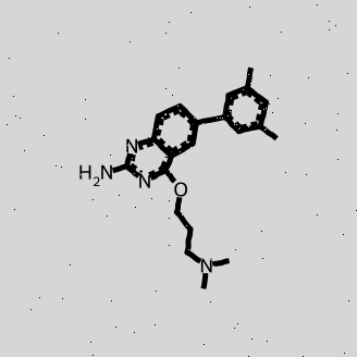 Cc1cc(C)cc(-c2ccc3nc(N)nc(OCCCN(C)C)c3c2)c1